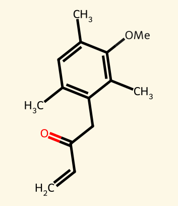 C=CC(=O)Cc1c(C)cc(C)c(OC)c1C